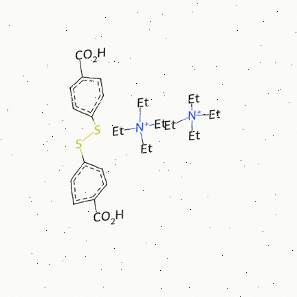 CC[N+](CC)(CC)CC.CC[N+](CC)(CC)CC.O=C(O)c1ccc(SSc2ccc(C(=O)O)cc2)cc1